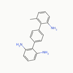 Cc1cccc(N)c1-c1ccc(-c2c(N)cccc2N)cc1